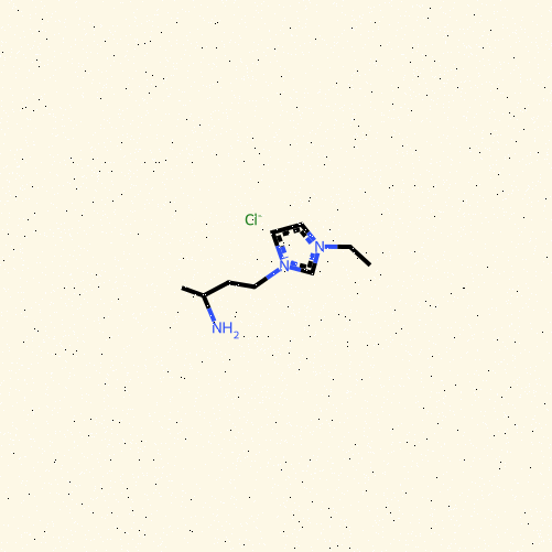 CCn1cc[n+](CCC(C)N)c1.[Cl-]